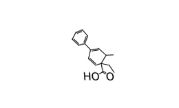 CCC1(C(=O)O)C=CC(c2ccccc2)=CC1C